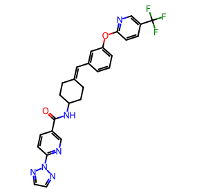 O=C(NC1CCC(=Cc2cccc(Oc3ccc(C(F)(F)F)cn3)c2)CC1)c1ccc(-n2nccn2)nc1